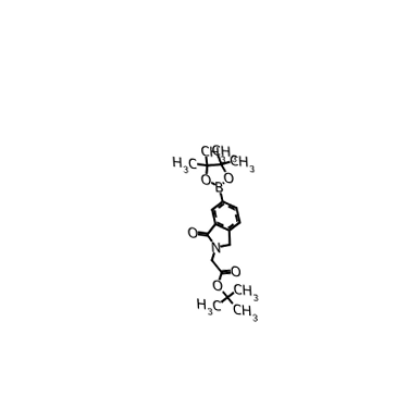 CC(C)(C)OC(=O)CN1Cc2ccc(B3OC(C)(C)C(C)(C)O3)cc2C1=O